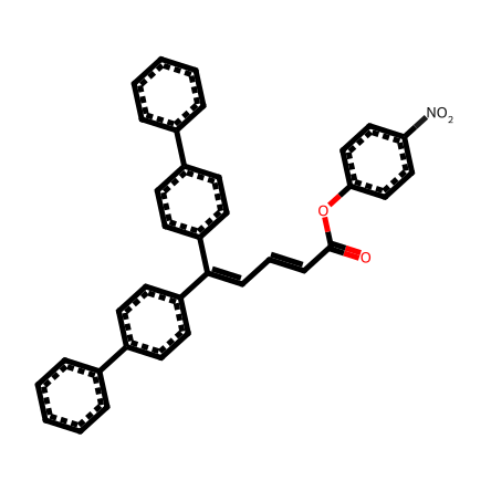 O=C(C=CC=C(c1ccc(-c2ccccc2)cc1)c1ccc(-c2ccccc2)cc1)Oc1ccc([N+](=O)[O-])cc1